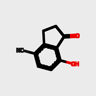 N#Cc1ccc(O)c2c1CCC2=O